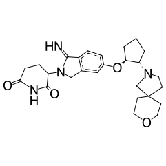 N=C1c2ccc(O[C@H]3CCC[C@@H]3N3CCC4(CCOCC4)C3)cc2CN1C1CCC(=O)NC1=O